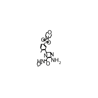 COCNC(=O)c1nc(-c2cc(S(=O)(=O)N3CCOCC3)ccc2C)cnc1N